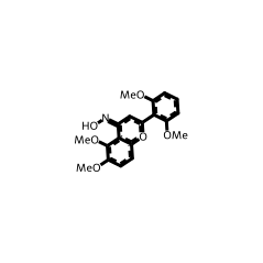 COc1cccc(OC)c1-c1c/c(=N/O)c2c(OC)c(OC)ccc2o1